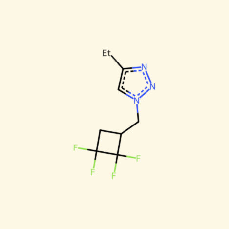 CCc1cn(CC2CC(F)(F)C2(F)F)nn1